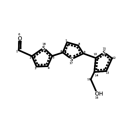 O=Cc1ccc(-c2ccc(-c3sccc3CO)s2)s1